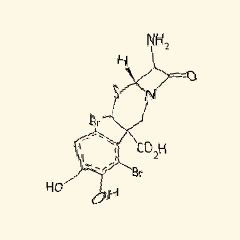 CC1S[C@@H]2C(N)C(=O)N2CC1(C(=O)O)c1c(Br)cc(O)c(O)c1Br